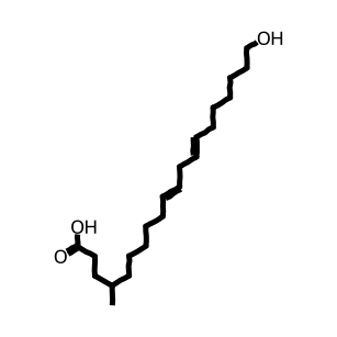 CC(CCCCCC=CCC=CCCCCCCO)CCC(=O)O